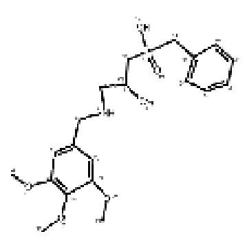 COc1cc(CNC[C@H](O)CP(=O)(O)Cc2ccccc2)cc(OC)c1OC